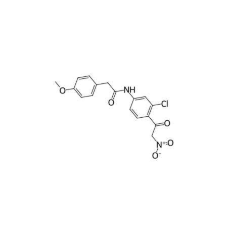 COc1ccc(CC(=O)Nc2ccc(C(=O)C[N+](=O)[O-])c(Cl)c2)cc1